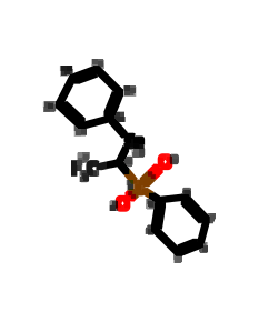 O=S(=O)(c1ccccc1)C([Se]c1ccccc1)C(F)(F)F